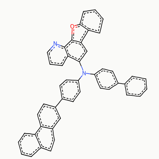 c1ccc(-c2ccc(N(c3ccc(-c4ccc5c(ccc6ccccc65)c4)cc3)c3cc4c5ccccc5oc4c4ncccc34)cc2)cc1